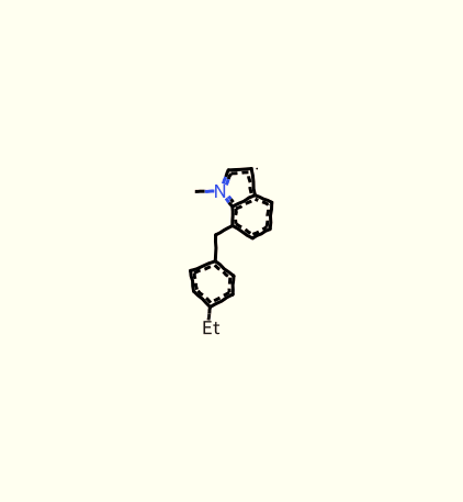 CCc1ccc(Cc2cccc3[c]cn(C)c23)cc1